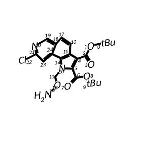 CC(C)(C)OC(=O)c1c(C(=O)OC(C)(C)C)n(CON)c2c1ccc1cnc(Cl)cc12